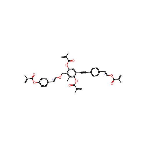 C=C(C)C(=O)O/C=C/c1ccc(C#Cc2cc(OC(=O)C(=C)C)c(CO/C=C/c3ccc(OC(=O)C(=C)C)cc3)c(C)c2OC(=O)C(=C)C)cc1